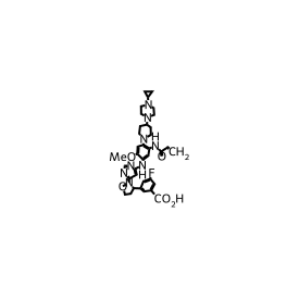 C=CC(=O)Nc1cc(Nc2cc(N3OCCC3c3cc(F)cc(C(=O)O)c3)ncn2)c(OC)cc1N1CCC(N2CCN(C3CC3)CC2)CC1